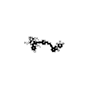 CC(=N)N1C(=N)[C@H](C)N=C(c2ccc(Cl)cc2)c2c1sc(C#Cc1ccc(CCCC#Cc3cccc4c3CN(C3CCC(=O)NC3=O)C4=O)nc1)c2C